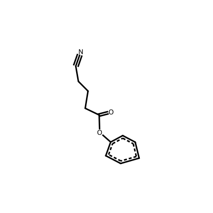 N#CCCCC(=O)Oc1ccccc1